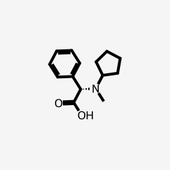 CN(C1CCCC1)[C@H](C(=O)O)c1ccccc1